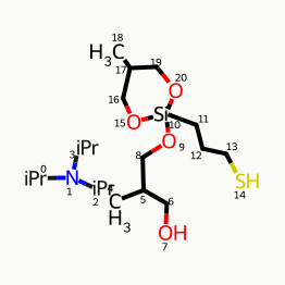 CC(C)N(C(C)C)C(C)C.CC(CO)CO[Si]1(CCCS)OCC(C)CO1